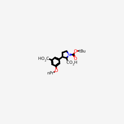 CCCOc1cc(C(=O)O)cc(C2CCN(C(=O)OC(C)(C)C)C2C(=O)O)c1